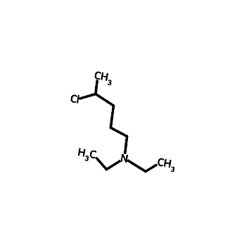 CCN(CC)CCCC(C)Cl